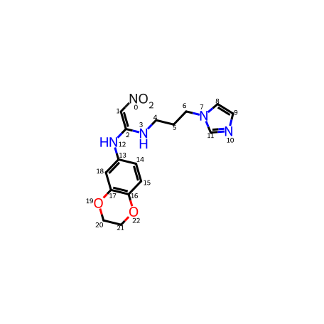 O=[N+]([O-])C=C(NCCCn1ccnc1)Nc1ccc2c(c1)OCCO2